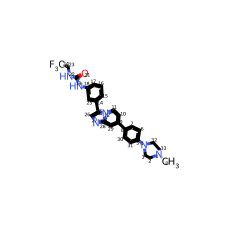 CN1CCN(c2ccc(-c3ccn4c(-c5cccc(NC(=O)NCC(F)(F)F)c5)cnc4c3)cc2)CC1